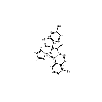 C[C@@H](n1nnc2c(F)cccc2c1=O)[C@](O)(Cn1cncn1)c1ccc(F)cc1F